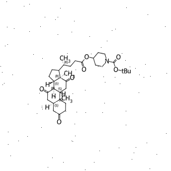 C[C@H](CCC(=O)OC1CCN(C(=O)OC(C)(C)C)CC1)C1CC[C@H]2[C@@H]3C(=O)C[C@@H]4CC(=O)CC[C@]4(C)[C@H]3CC(=O)[C@]12C